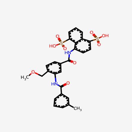 COCc1ccc(C(=O)Nc2ccc(S(=O)(=O)O)c3cccc(S(=O)(=O)O)c23)cc1NC(=O)c1cccc(C)c1